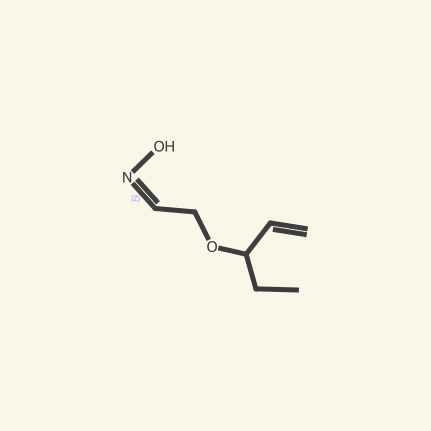 C=CC(CC)OC/C=N\O